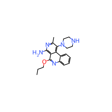 CCCOc1nc2ccccc2c2c(N3CCNCC3)c(C)nc(N)c12